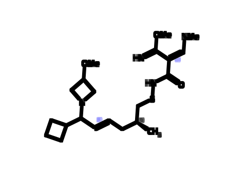 CN/C=C(\C(=N)OC)C(=O)NSC[C@@H](C)C/C=C/C(C1CCC1)N1CC(OC)C1